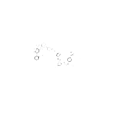 Cc1ncsc1-c1ccc([C@H](C)NC(=O)[C@@H]2C[C@@H](O)CN2C(=O)[C@@H](c2cc(OCCN3CCC(N4CCCC5(CNc6nnc(-c7ccccc7O)cc6N5)C4)C3)no2)C(C)C)cc1